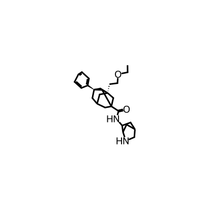 CCOCC[C@@]12CC3CC(C(=O)NC4CC5CNC4C5)(C1)C[C@](c1ccccc1)(C3)C2